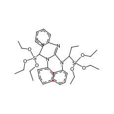 CCO[Si](OCC)(OCC)C(CC)N(C(=Nc1ccccc1)N(c1ccccc1)C(CC)[Si](OCC)(OCC)OCC)c1ccccc1